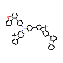 CC1(C)c2ccc(-c3ccc(N(c4ccc(-c5cccc6oc7ccccc7c56)cc4)c4ccc5c(c4)C(C)(C)c4ccccc4-5)cc3)cc2-c2ccc(-c3cccc4c3oc3ccccc34)cc21